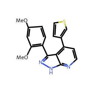 COc1ccc(-c2n[nH]c3nccc(-c4ccsc4)c23)c(OC)c1